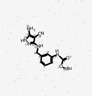 CC(C)(C)OC(=O)Nc1cccc(CNc2n[nH]c(N)c2C#N)c1